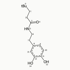 CC(C)(C)C[CH]C(=O)NCCc1ccc(O)c(O)c1